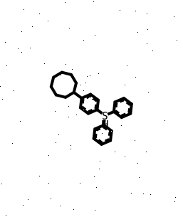 c1ccc([SH](c2ccccc2)c2ccc(C3CCCCCCC3)cc2)cc1